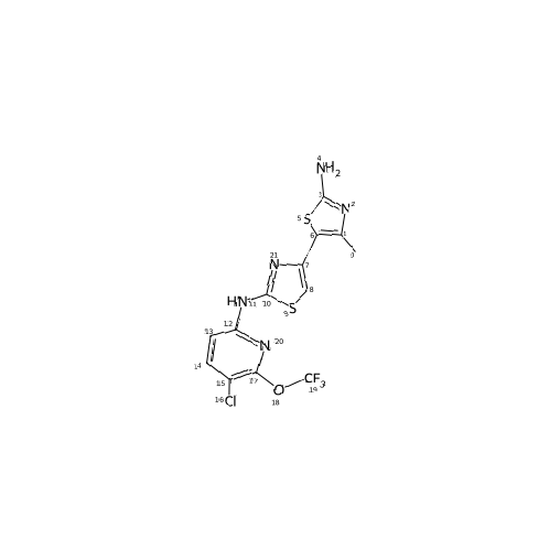 Cc1nc(N)sc1-c1csc(Nc2ccc(Cl)c(OC(F)(F)F)n2)n1